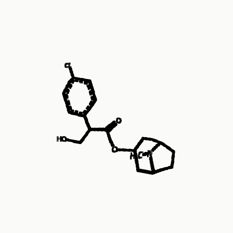 CN1C2CCC1CC(OC(=O)C(CO)c1ccc(Cl)cc1)C2